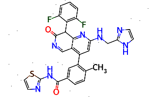 Cc1ccc(C(=O)Nc2nccs2)cc1-c1cc(NCc2ncc[nH]2)nc2c1C=NC(=O)C2c1c(F)cccc1F